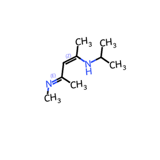 C/N=C(C)/C=C(/C)NC(C)C